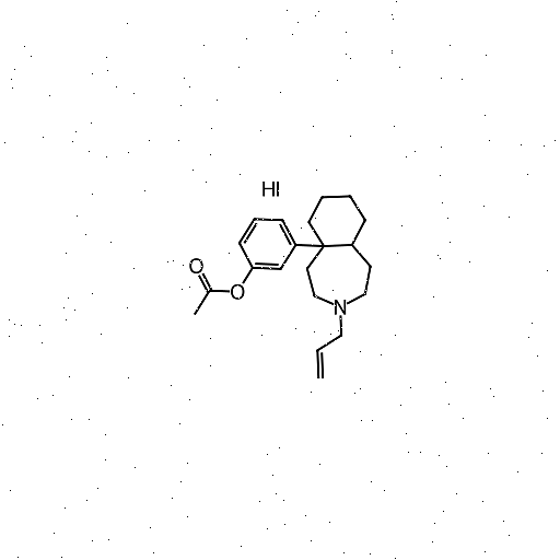 C=CCN1CCC2CCCCC2(c2cccc(OC(C)=O)c2)CC1.I